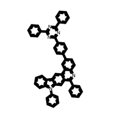 c1ccc(-c2nc(-c3ccccc3)nc(-c3ccc(-c4ccc5nc(-c6ccccc6)c6cc7c(cc6c5c4)c4ccccc4n7-c4ccccc4)cc3)n2)cc1